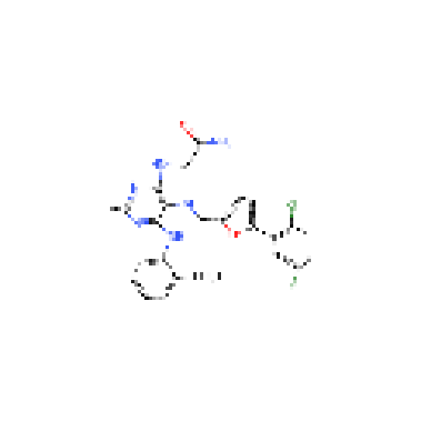 Cc1nc(NCC(N)=O)c(NCc2ccc(-c3cc(Cl)ccc3Cl)o2)c(Nc2ccccc2C(=O)O)n1